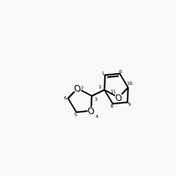 C1=CC2(C3OCCO3)CCC1O2